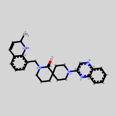 CC1C=Cc2cccc(CN3CCCC4(CCN(c5cnc6ccccc6n5)CC4)C3=O)c2N1